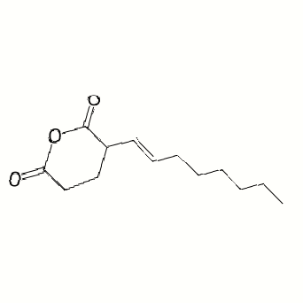 CCCCCCC=CC1CCC(=O)OC1=O